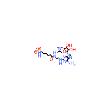 CC(C)N(C)C[C@H]1OC(n2cnc3c(N)nc(NCCNC(=O)CCCCCNS(C)(=O)=O)nc32)[C@H](O)[C@@H]1O